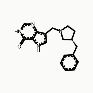 O=c1[nH]cnc2c(CN3CC[C@@H](Cc4ccccc4)C3)c[nH]c12